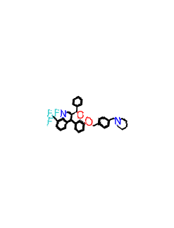 O=C(c1ccccc1)c1cnc2c(C(F)(F)F)cccc2c1-c1cccc(OCc2ccc(CN3CCCCC3)cc2)c1